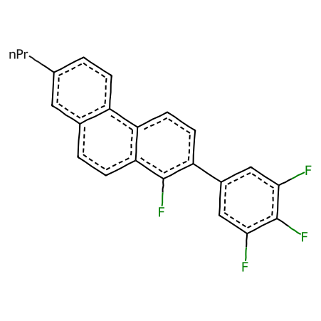 CCCc1ccc2c(ccc3c(F)c(-c4cc(F)c(F)c(F)c4)ccc32)c1